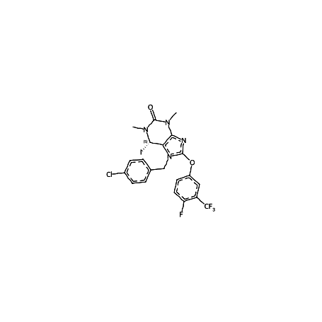 CN1C(=O)N(C)[C@@H](I)c2c1nc(Oc1ccc(F)c(C(F)(F)F)c1)n2Cc1ccc(Cl)cc1